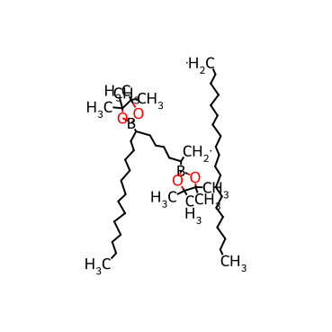 [CH2]C(CCCCC(CCCCCCCCCCCCC)B1OC(C)(C)C(C)(C)O1)B1OC(C)(C)C(C)(C)O1.[CH2]CCCCCCCCCCCCCCCCCCC